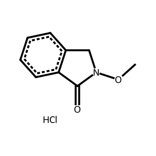 CON1Cc2ccccc2C1=O.Cl